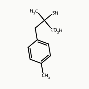 Cc1ccc(CC(C)(S)C(=O)O)cc1